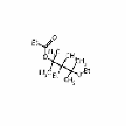 CCOC(C)(C)C(C)(CC)C(C)(C)OC(=O)CC